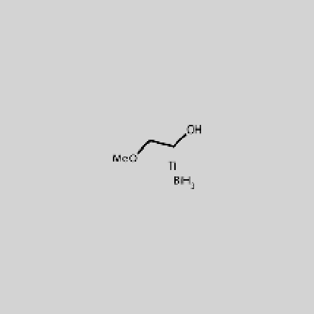 COCCO.[BiH3].[Ti]